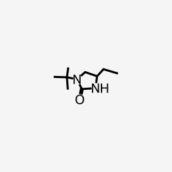 CCC1CN(C(C)(C)C)C(=O)N1